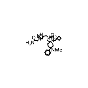 CN[C@]1(c2ccccc2)CC[C@@]2(CC1)CN(Cc1cn(CC(N)=O)nn1)C(=O)N2CC1(O)CCC1